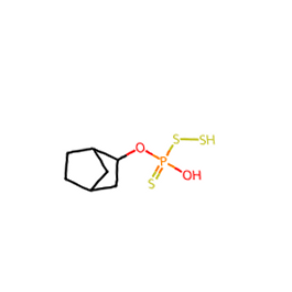 OP(=S)(OC1CC2CCC1C2)SS